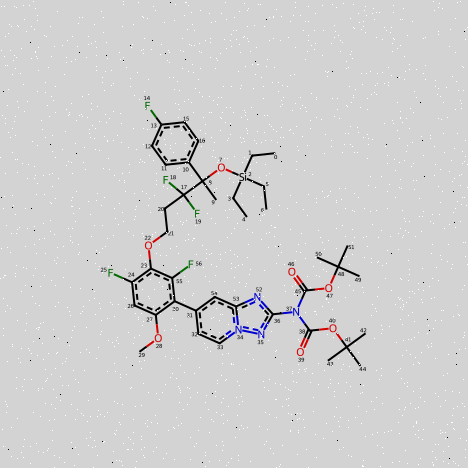 CC[Si](CC)(CC)OC(C)(c1ccc(F)cc1)C(F)(F)CCOc1c(F)cc(OC)c(-c2ccn3nc(N(C(=O)OC(C)(C)C)C(=O)OC(C)(C)C)nc3c2)c1F